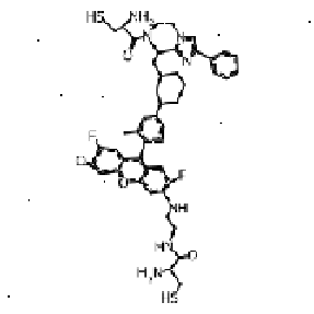 Cc1cc(C2CCCC(CC3c4nc(-c5ccccc5)cn4CCN3C(=O)C(N)CS)C2)ccc1-c1c2cc(F)c(=O)cc-2oc2cc(NCCNC(=O)C(N)CS)c(F)cc12